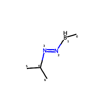 CB/N=N/C(C)C